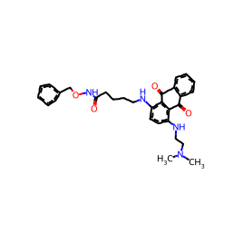 CN(C)CCNc1ccc(NCCCCC(=O)NOCc2ccccc2)c2c1C(=O)c1ccccc1C2=O